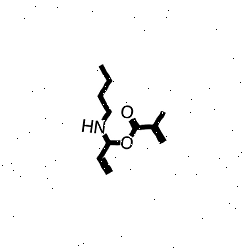 C=CC(NCCCC)OC(=O)C(=C)C